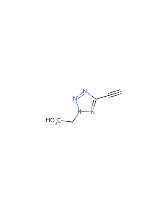 C#Cc1nnn(CC(=O)O)n1